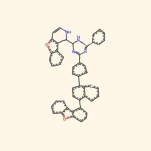 C1=Cc2oc3ccccc3c2C(C2N=C(c3ccc(-c4ccc(-c5cccc6oc7ccccc7c56)c5ccccc45)cc3)N=C(c3ccccc3)N2)N1